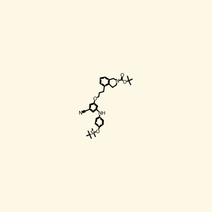 CC(C)(C)OC(=O)N1CCc2c(CCCOc3cc(C#N)cc(Nc4ccc(O[Si](C)(C)C(C)(C)C)cc4)c3)cccc2C1